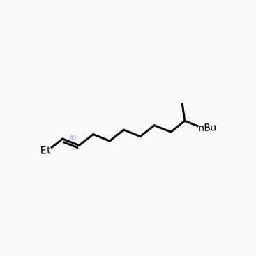 [CH2]C/C=C/CCCCCCC(C)CCC[CH2]